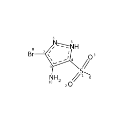 CS(=O)(=O)c1[nH]nc(Br)c1N